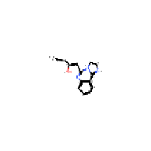 CCC/C(O)=C/C1=Nc2ccccc2C2=NCCN12